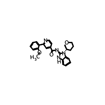 COc1ccccc1-c1cc(C(=O)/N=c2\[nH]c3ccccc3n2[C@H]2CCCOC2)ccn1